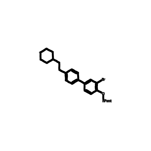 CCCCCOc1ccc(-c2ccc(CCC3CC[CH]CC3)cc2)cc1Br